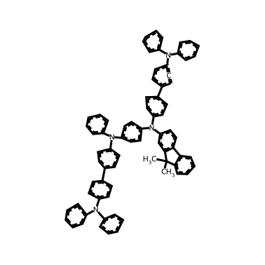 CC1(C)c2ccccc2-c2ccc(N(c3ccc(-c4ccc(N(c5ccccc5)c5ccccc5)cc4)cc3)c3ccc(N(c4ccccc4)c4ccc(-c5ccc(N(c6ccccc6)c6ccccc6)cc5)cc4)cc3)cc21